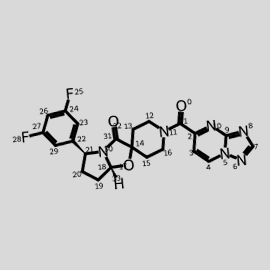 O=C(c1ccn2ncnc2n1)N1CCC2(CC1)O[C@@H]1CC[C@@H](c3cc(F)cc(F)c3)N1C2=O